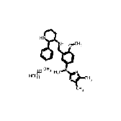 COc1ccc(N(C)c2nc(C)c(C)s2)cc1CNC1CCCNC1c1ccccc1.Cl.Cl.Cl.O